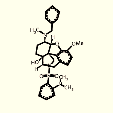 COc1ccc2c3c1O[C@H]1[C@H](N(C)Cc4ccccc4)CC[C@@]4(O)[C@@H](C2)N(S(=O)(=O)c2ccccc2N(C)C)CC[C@]314